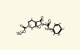 CC(C)(C)OC(=O)N1CCc2c(on(C(=O)Nc3ccccc3)c2=O)C1